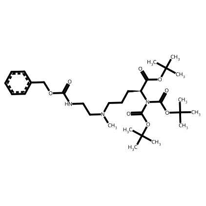 CN(CCC[C@@H](C(=O)OC(C)(C)C)N(C(=O)OC(C)(C)C)C(=O)OC(C)(C)C)CCNC(=O)OCc1ccccc1